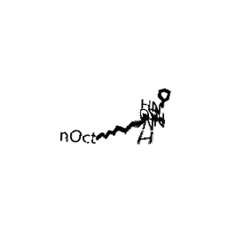 CCCCCCCCC=CCCCCCCCC(=O)Nc1nnc(NCC2CCCCC2)s1